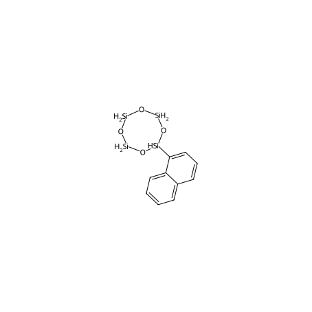 c1ccc2c([SiH]3O[SiH2]O[SiH2]O[SiH2]O3)cccc2c1